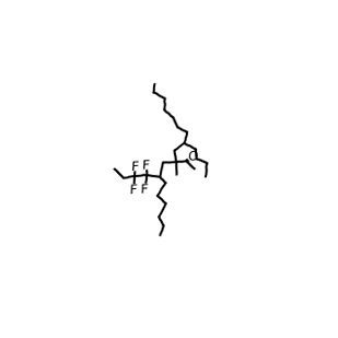 CCCCCCCC(CCCC)CC(C)(CC(CCCCCC)C(F)(F)C(F)(F)CC)C(C)=O